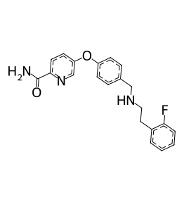 NC(=O)c1ccc(Oc2ccc(CNCCc3ccccc3F)cc2)cn1